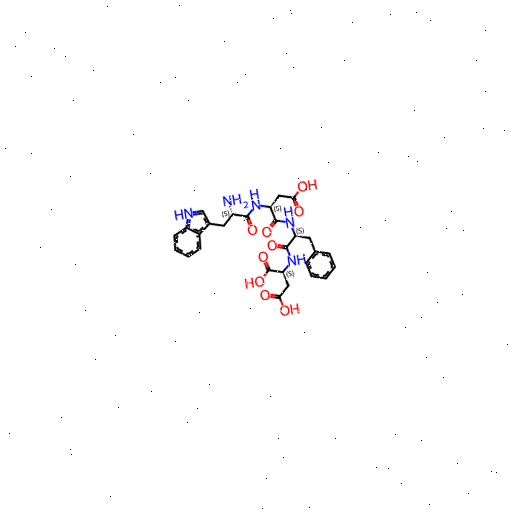 N[C@@H](Cc1c[nH]c2ccccc12)C(=O)N[C@@H](CC(=O)O)C(=O)N[C@@H](Cc1ccccc1)C(=O)N[C@@H](CC(=O)O)C(=O)O